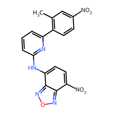 Cc1cc([N+](=O)[O-])ccc1-c1cccc(Nc2ccc([N+](=O)[O-])c3nonc23)n1